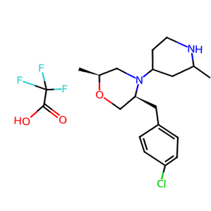 CC1CC(N2C[C@H](C)OC[C@@H]2Cc2ccc(Cl)cc2)CCN1.O=C(O)C(F)(F)F